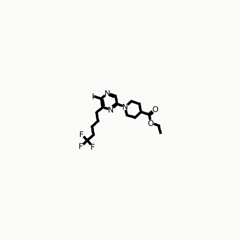 CCOC(=O)C1CCN(c2cnc(I)c(CCCCC(F)(F)F)n2)CC1